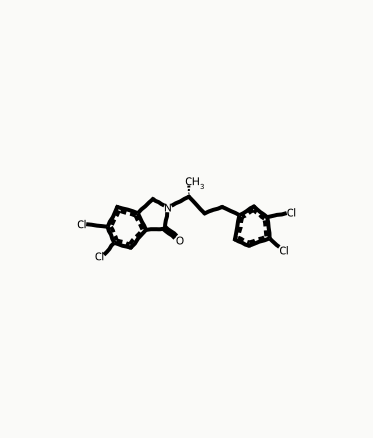 C[C@H](CCc1ccc(Cl)c(Cl)c1)N1Cc2cc(Cl)c(Cl)cc2C1=O